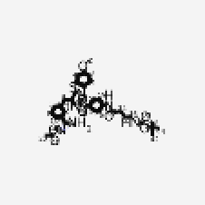 COc1ccc2nc(C(Cc3cccc(/C(N)=N\OC(C)=O)c3)NS(=O)(=O)c3ccc(NC(=O)CCCNC(=O)OC(C)(C)C)cc3)sc2c1